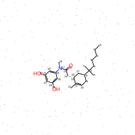 CCCCCC(C)(C)C1CC=C(C)[C@H](CC(=O)N(C)c2cc(O)cc(O)c2)C1